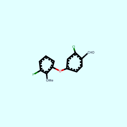 COc1c(F)cccc1Oc1ccc(C=O)c(Cl)c1